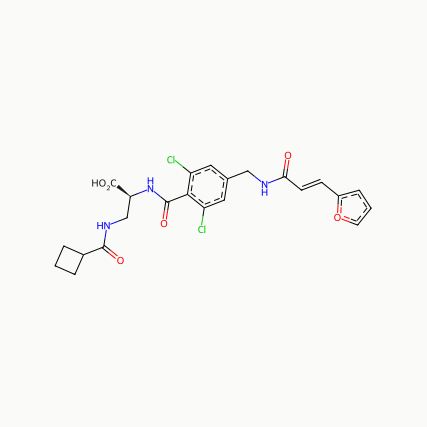 O=C(/C=C/c1ccco1)NCc1cc(Cl)c(C(=O)N[C@@H](CNC(=O)C2CCC2)C(=O)O)c(Cl)c1